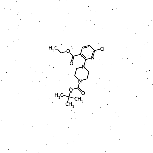 CCOC(=O)c1ccc(Cl)nc1N1CCN(C(=O)OC(C)(C)C)CC1